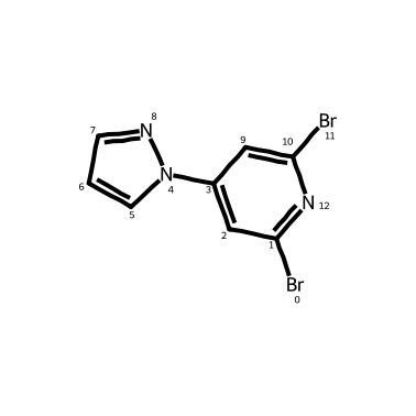 Brc1cc(-n2cccn2)cc(Br)n1